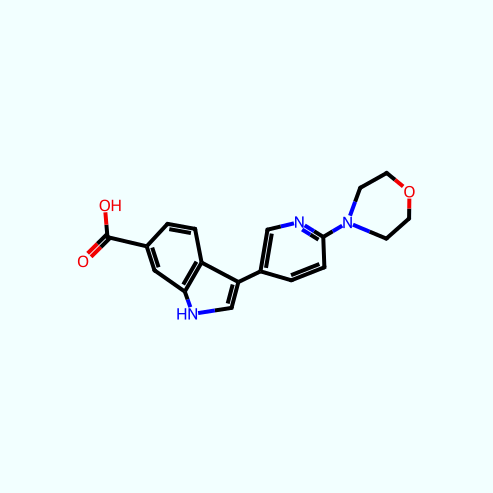 O=C(O)c1ccc2c(-c3ccc(N4CCOCC4)nc3)c[nH]c2c1